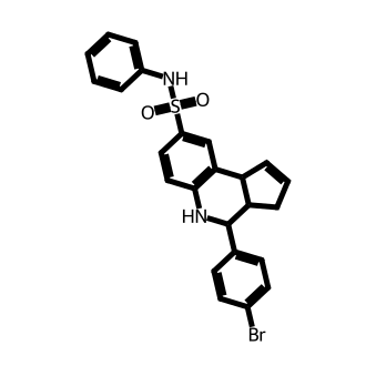 O=S(=O)(Nc1ccccc1)c1ccc2c(c1)C1C=CCC1C(c1ccc(Br)cc1)N2